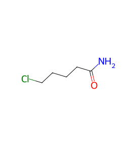 NC(=O)CCCCCl